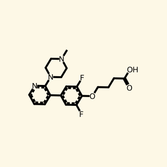 CN1CCN(c2ncccc2-c2cc(F)c(OCCCC(=O)O)c(F)c2)CC1